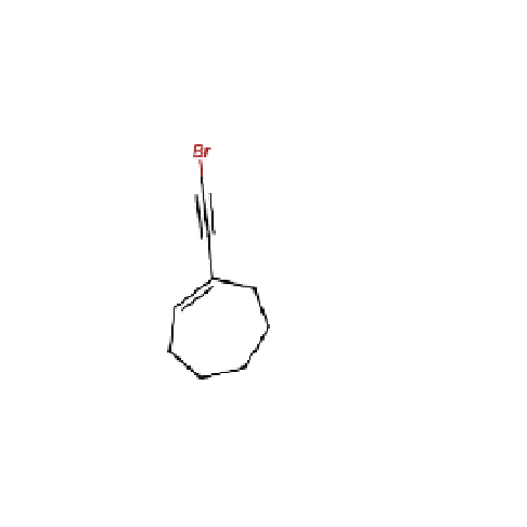 BrC#CC1=CCCCCC1